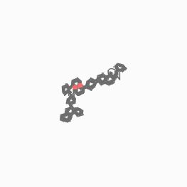 c1ccc(-c2nc3ccc4cc(-c5ccc(-c6ccc(N(c7ccc(-c8cc9ccccc9c9ccccc89)cc7)c7ccccc7-c7ccccc7)cc6)cc5)ccc4c3o2)cc1